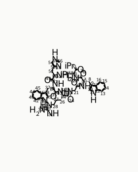 CC(C)C(=O)[C@@H](NC(=O)[C@H](Cc1c[nH]c2ccccc12)NC(=O)CNC(=O)[C@H](CCCNC(=N)N)NC(=O)[C@H](Cc1c[nH]c2ccccc12)NC(=O)[C@@H](N)Cc1c[nH]cn1)C(C)C